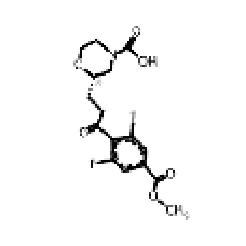 COC(=O)c1cc(F)c(C(=O)CC[C@H]2CN(C(=O)O)CCO2)c(F)c1